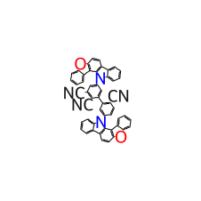 N#Cc1ccc(-n2c3ccccc3c3ccc4oc5ccccc5c4c32)cc1-c1cc(-n2c3ccccc3c3ccc4oc5ccccc5c4c32)cc(C#N)c1C#N